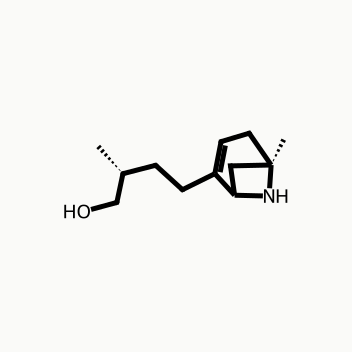 C[C@@H](CO)CCC1=CC[C@]2(C)CC1N2